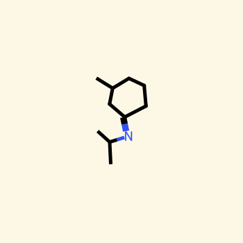 CC1CCCC(=NC(C)C)C1